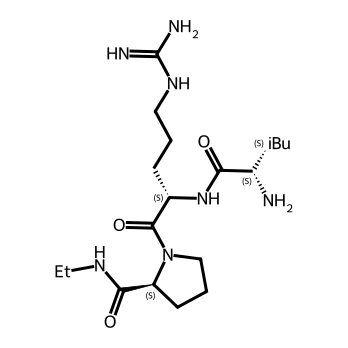 CCNC(=O)[C@@H]1CCCN1C(=O)[C@H](CCCNC(=N)N)NC(=O)[C@@H](N)[C@@H](C)CC